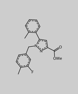 COC(=O)c1cc(-c2ccccc2C)n(Cc2ccc(C)c(F)c2)n1